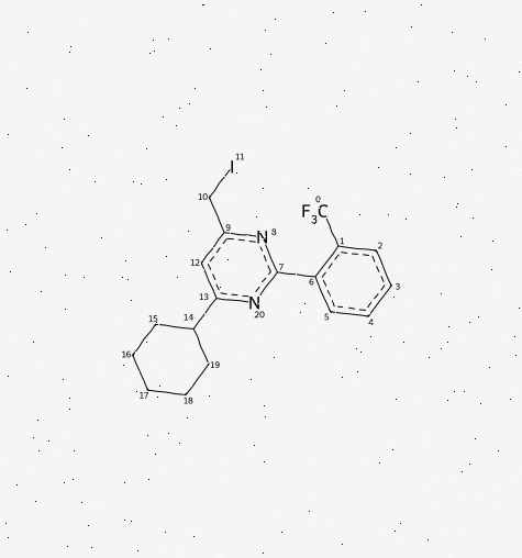 FC(F)(F)c1ccccc1-c1nc(CI)cc(C2CCCCC2)n1